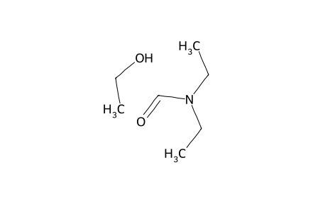 CCN(C=O)CC.CCO